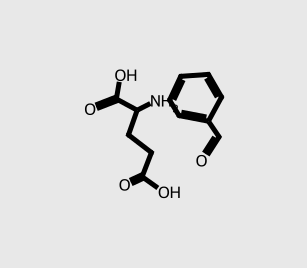 NC(CCC(=O)O)C(=O)O.O=Cc1ccccc1